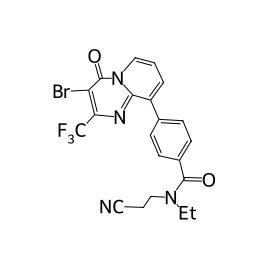 CCN(CCC#N)C(=O)c1ccc(-c2cccn3c(=O)c(Br)c(C(F)(F)F)nc23)cc1